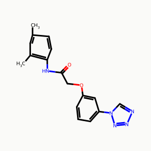 Cc1ccc(NC(=O)COc2cccc(-n3cnnn3)c2)c(C)c1